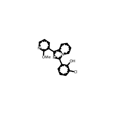 COc1ncccc1-c1nc(-c2cccc(Cl)c2O)n2ccccc12